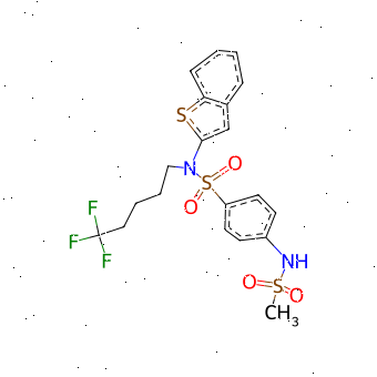 CS(=O)(=O)Nc1ccc(S(=O)(=O)N(CCCCC(F)(F)F)c2cc3ccccc3s2)cc1